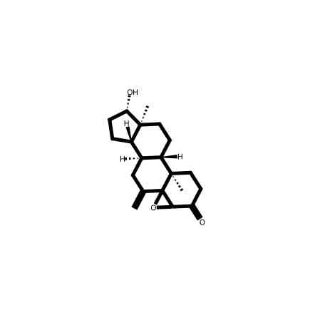 C=C1C[C@H]2[C@@H]3CC[C@H](O)[C@@]3(C)CC[C@@H]2[C@@]2(C)CCC(=O)C3OC132